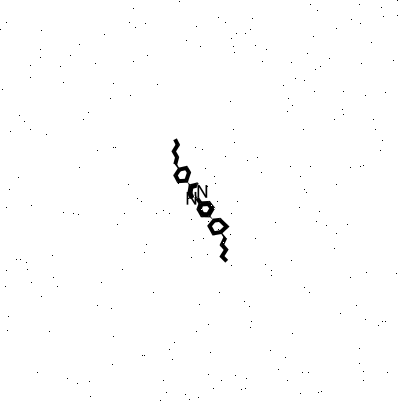 CCCCC[C@H]1CC[C@H](c2ccc(-c3ncc([C@H]4CC[C@H](CCCCC)CC4)cn3)cc2)CC1